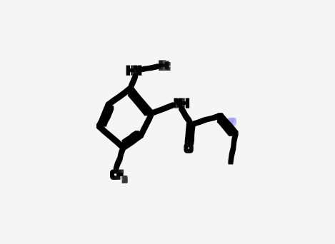 C/C=C\C(=O)Nc1cc(C(F)(F)F)ccc1NCC